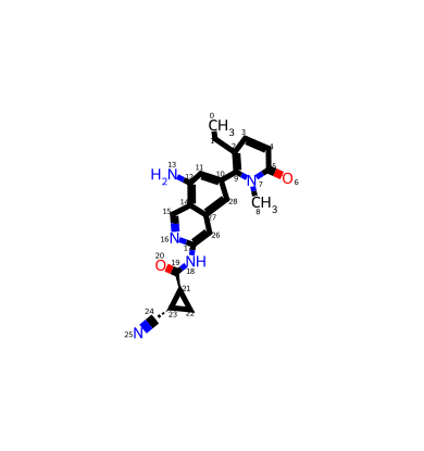 CCc1ccc(=O)n(C)c1-c1cc(N)c2cnc(NC(=O)[C@H]3C[C@@H]3C#N)cc2c1